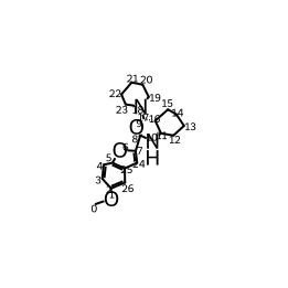 COc1ccc2oc(C(=O)N[C@@H]3CCCC[C@H]3CN3CCCCC3)cc2c1